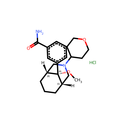 CO[C@@]1(c2cccc(C(N)=O)c2)[C@@H]2CCC[C@H]1CN(C1CCOCC1)C2.Cl